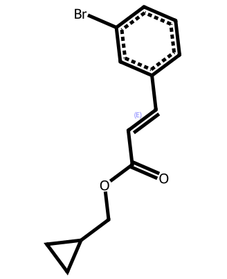 O=C(/C=C/c1cccc(Br)c1)OCC1CC1